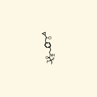 O=C(NCCc1ccc(C[C@@H](Cl)C2CC2)cc1)C(F)(F)F